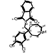 O=C1c2ccccc2C(=O)N1CC1(c2ccc(Cl)c(Cl)c2)CCNCCO1